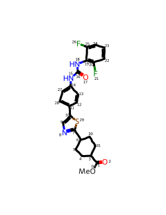 COC(=O)C1CCC(c2ncc(-c3ccc(NC(=O)Nc4c(F)cccc4F)cc3)s2)CC1